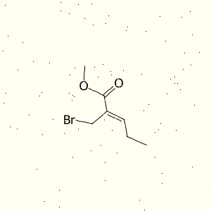 CCC=C(CBr)C(=O)OC